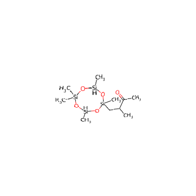 CC(=O)C(C)C[Si]1(C)O[SiH](C)O[Si](C)(C)O[SiH](C)O1